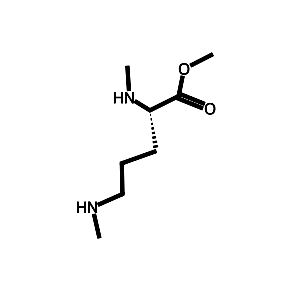 CNCCC[C@H](NC)C(=O)OC